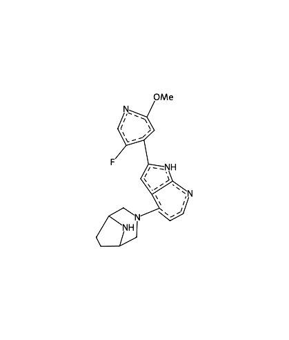 COc1cc(-c2cc3c(N4CC5CCC(C4)N5)ccnc3[nH]2)c(F)cn1